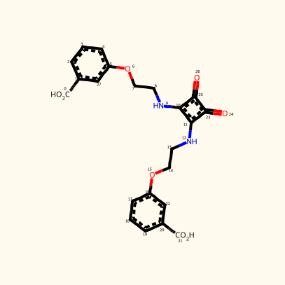 O=C(O)c1cccc(OCCNc2c(NCCOc3cccc(C(=O)O)c3)c(=O)c2=O)c1